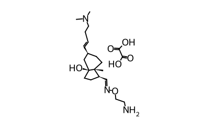 CN(C)CC/C=C/[C@H]1CC[C@]2(C)[C@@H](/C=N/OCCN)CC[C@]2(O)C1.O=C(O)C(=O)O